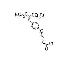 CCOC(=O)C(=Cc1ccc(OCCOC(=O)Cl)cc1)C(=O)OCC